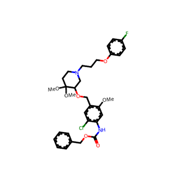 COc1cc(NC(=O)OCc2ccccc2)c(Cl)cc1COC1CN(CCCOc2ccc(F)cc2)CCC1(OC)OC